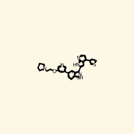 c1cc(-c2ccsc2)c2cc(-c3n[nH]c4ccc(-c5cncc(OCCN6CCCC6)c5)cc34)[nH]c2n1